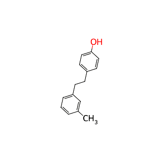 Cc1cccc(CCc2ccc(O)cc2)c1